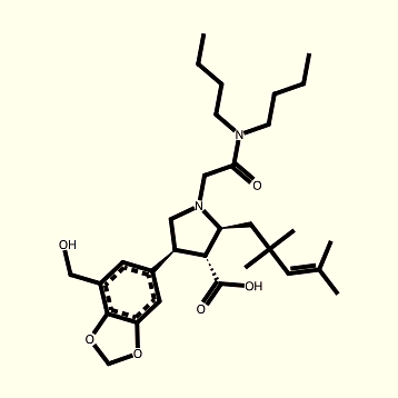 CCCCN(CCCC)C(=O)CN1C[C@H](c2cc(CO)c3c(c2)OCO3)[C@@H](C(=O)O)[C@@H]1CC(C)(C)C=C(C)C